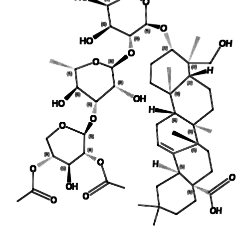 CC(=O)O[C@H]1[C@H](O[C@@H]2[C@@H](O)[C@H](C)O[C@@H](O[C@H]3[C@H](O[C@H]4CC[C@@]5(C)[C@@H](CC[C@]6(C)[C@@H]5CC=C5[C@@H]7CC(C)(C)CC[C@]7(C(=O)O)CC[C@]56C)[C@]4(C)CO)OC[C@H](O)[C@@H]3O)[C@@H]2O)OC[C@@H](OC(C)=O)[C@@H]1O